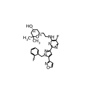 CC1(C)C[C@H](O)C[C@@H](CCNc2nc(-c3cc(-c4ccon4)n(Cc4ccccc4F)n3)ncc2F)O1